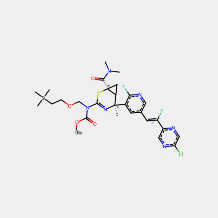 CN(C)C(=O)[C@]12CC1[C@@](C)(c1cc(/C=C(\F)c3cnc(Cl)cn3)cnc1F)N=C(N(COCC[Si](C)(C)C)C(=O)OC(C)(C)C)S2